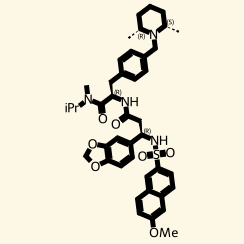 COc1ccc2cc(S(=O)(=O)N[C@H](CC(=O)N[C@H](Cc3ccc(CN4[C@H](C)CCC[C@@H]4C)cc3)C(=O)N(C)C(C)C)c3ccc4c(c3)OCO4)ccc2c1